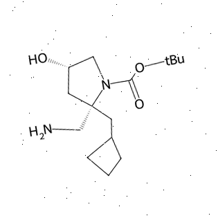 CC(C)(C)OC(=O)N1C[C@@H](O)C[C@]1(CN)CC1CCC1